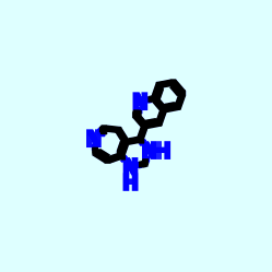 C1=CC2=C(CC=N1)C(c1cnc3ccccc3c1)NCN2